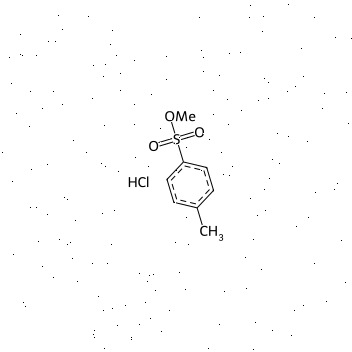 COS(=O)(=O)c1ccc(C)cc1.Cl